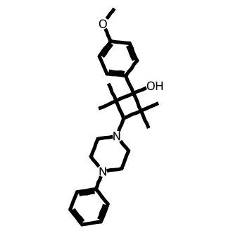 COc1ccc(C2(O)C(C)(C)C(N3CCN(c4ccccc4)CC3)C2(C)C)cc1